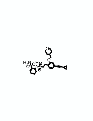 NS(=O)(=O)c1ccccc1NS(=O)(=O)CCc1ccc(C#CC2CC2)cc1OCC1CCOCC1